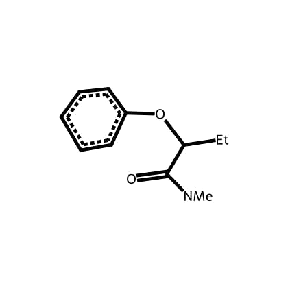 CCC(Oc1ccccc1)C(=O)NC